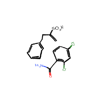 C=C(Cc1ccccc1)S(=O)(=O)O.NC(=O)c1ccc(Cl)cc1Cl